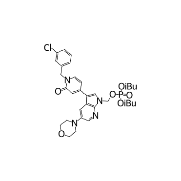 CC(C)COP(=O)(OCC(C)C)OCn1cc(-c2ccn(Cc3cccc(Cl)c3)c(=O)c2)c2cc(N3CCOCC3)cnc21